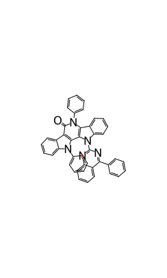 O=c1c2c3ccccc3n(-c3ccccc3)c2c2c(c3ccccc3n2-c2nc(-c3ccccc3)c3ccccc3n2)n1-c1ccccc1